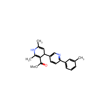 COC(=O)C1=C(C)NC(C)=CC1c1ccc(-c2cccc(C)c2)nc1